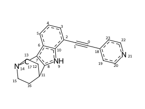 C(#Cc1cccc2c3c([nH]c12)C1CCN(CC1)C3)c1ccncc1